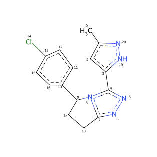 Cc1cc(-c2nnc3n2C(c2ccc(Cl)cc2)CC3)[nH]n1